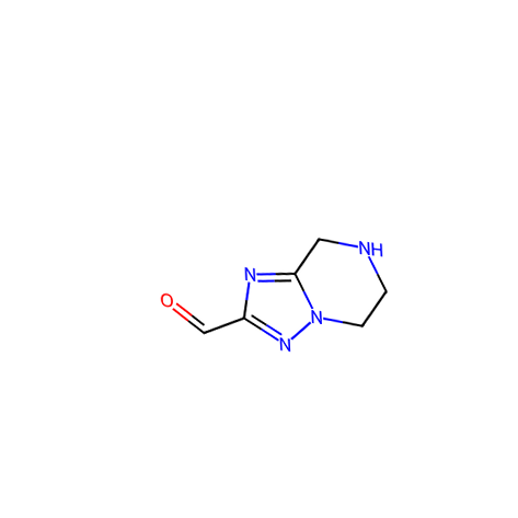 O=Cc1nc2n(n1)CCNC2